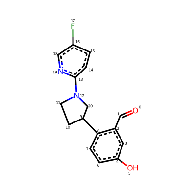 O=Cc1cc(O)ccc1C1CCN(c2ccc(F)cn2)C1